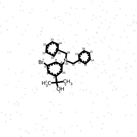 CC(C)(O)c1cc(Br)cc(N(Cc2ccccc2)Cc2ccccc2)c1